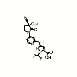 N#C[C@@]1(O)CCN(c2ccnc(Nc3cc(C(=O)O)n(C(F)F)n3)c2)C1=O